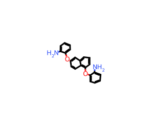 Nc1ccccc1Oc1ccc2c(Oc3ccccc3N)cccc2c1